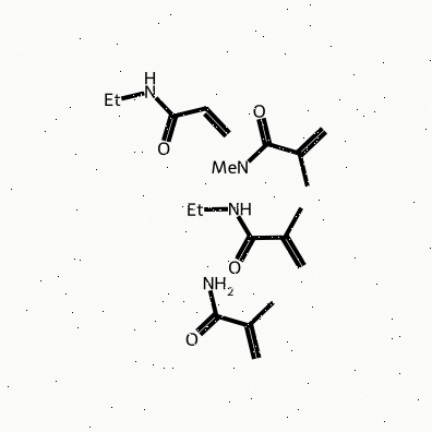 C=C(C)C(=O)NC.C=C(C)C(=O)NCC.C=C(C)C(N)=O.C=CC(=O)NCC